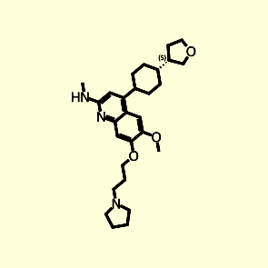 CNc1cc(C2CCC([C@@H]3CCOC3)CC2)c2cc(OC)c(OCCCN3CCCC3)cc2n1